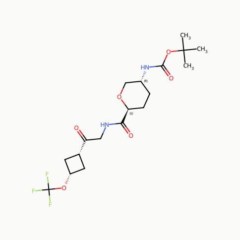 CC(C)(C)OC(=O)N[C@@H]1CC[C@@H](C(=O)NCC(=O)[C@H]2C[C@@H](OC(F)(F)F)C2)OC1